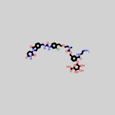 CN(CCOCCc1ccc(NC(=O)NCc2ccc3c(c2)CN(C2CCC(=O)NC2=O)C3=O)cc1Cl)C(=O)OCc1ccc(OC2O[C@H](C(=O)O)C(O)C(O)C2O)c(C(=O)NCCN)c1